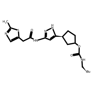 CC[C@H](C)CNC(=O)OC1CC[C@H](c2cc(NC(=O)Cc3cnc(C)s3)n[nH]2)C1